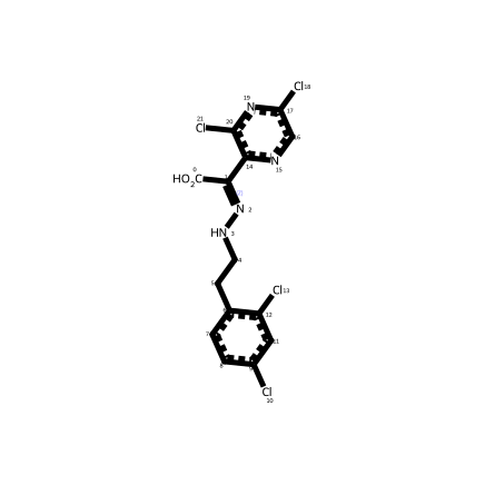 O=C(O)/C(=N\NCCc1ccc(Cl)cc1Cl)c1ncc(Cl)nc1Cl